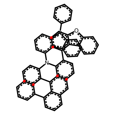 c1ccc(-c2cccc3cccc(-c4ccccc4N(c4ccccc4-c4cccc5oc6ccccc6c45)c4cccc5c4c4ccccc4n5-c4ccccc4)c23)cc1